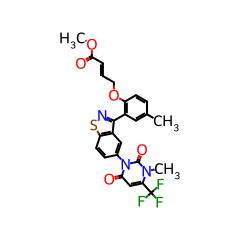 COC(=O)/C=C/COc1ccc(C)cc1-c1nsc2ccc(-n3c(=O)cc(C(F)(F)F)n(C)c3=O)cc12